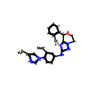 COc1cc(Nc2nc3n(n2)CCOC3c2ccccc2C(F)(F)F)ccc1-n1cnc(C)c1